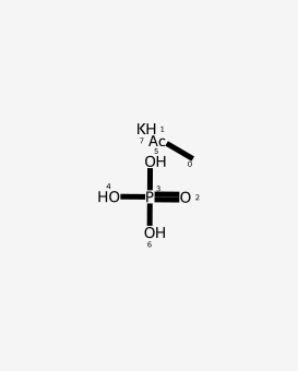 CC(C)=O.O=P(O)(O)O.[KH]